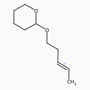 C/C=C/CCOC1CCCCO1